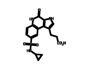 O=C(O)CCc1c[nH]c2c(=O)[nH]c3ccc(S(=O)(=O)NC4CC4)cc3c12